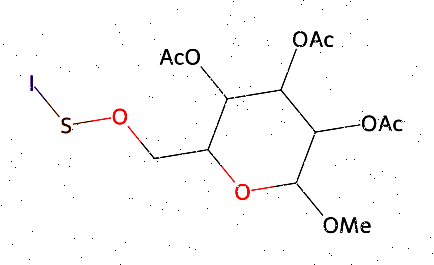 COC1OC(COSI)C(OC(C)=O)C(OC(C)=O)C1OC(C)=O